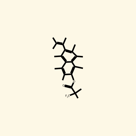 CC(C)=C(C)c1c(C)c(C)c2c(C)c(OC(=O)C(C)(C)C(F)(F)F)c(C)c(C)c2c1C